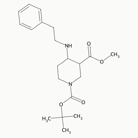 COC(=O)C1CN(C(=O)OC(C)(C)C)CCC1NCCc1ccccc1